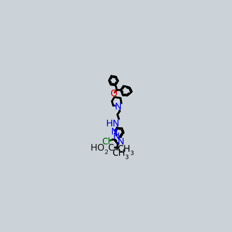 CC(C)(C(=O)O)c1nc2ccc(NCCCN3CCC(OC(c4ccccc4)c4ccccc4)CC3)nn2c1Cl